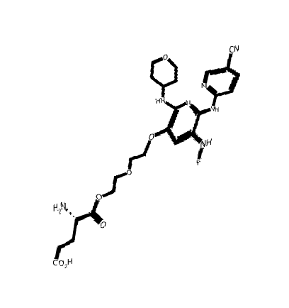 N#Cc1ccc(Nc2nc(NC3CCOCC3)c(OCCOCCOC(=O)[C@@H](N)CCC(=O)O)cc2NF)nc1